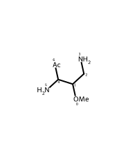 COC(CN)C(N)C(C)=O